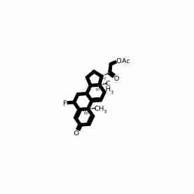 CC(=O)OCC(=O)[C@H]1CCC2C3CC(F)C4=CC(=O)C=C[C@]4(C)C3=CC[C@@]21C